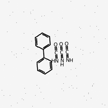 N=C=O.N=C=O.N=C=O.c1ccc(-c2ccccc2)cc1